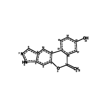 C=C1Oc2cc3[nH]ncc3cc2-c2ccc(O)cc21